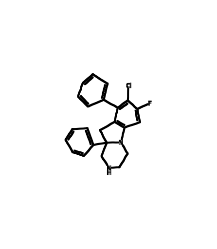 Fc1cc2c(c(-c3ccccc3)c1Cl)CC1(c3ccccc3)CNCCN21